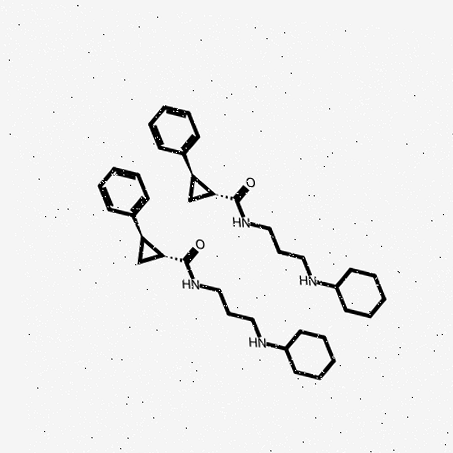 O=C(NCCCNC1CCCCC1)[C@@H]1C[C@H]1c1ccccc1.O=C(NCCCNC1CCCCC1)[C@@H]1C[C@H]1c1ccccc1